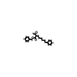 CC(=O)C(CCCCCCc1ccccc1)C(=O)OCc1ccccc1